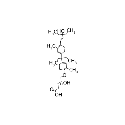 CCC(O)(C=Cc1ccc(C(CC)(CC)c2ccc(OC[C@H](O)CCC(=O)O)c(C)c2)cc1C)CC